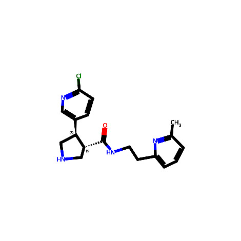 Cc1cccc(CCNC(=O)[C@@H]2CNC[C@H]2c2ccc(Cl)nc2)n1